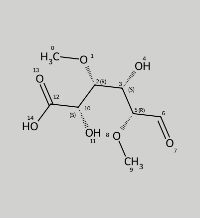 CO[C@H]([C@H](O)[C@H](C=O)OC)[C@H](O)C(=O)O